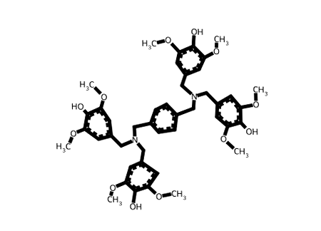 COc1cc(CN(Cc2ccc(CN(Cc3cc(OC)c(O)c(OC)c3)Cc3cc(OC)c(O)c(OC)c3)cc2)Cc2cc(OC)c(O)c(OC)c2)cc(OC)c1O